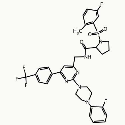 Cc1ccc(F)cc1S(=O)(=O)N1CCCC1C(=O)NCc1cc(-c2ccc(C(F)(F)F)cc2)nc(N2CCN(c3ccccc3F)CC2)n1